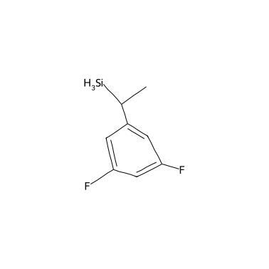 CC([SiH3])c1cc(F)cc(F)c1